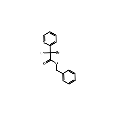 O=C(OCc1ccccc1)C(Br)(Br)c1ccccn1